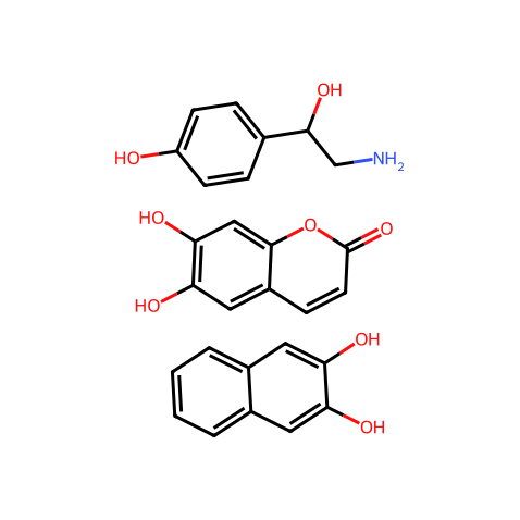 NCC(O)c1ccc(O)cc1.O=c1ccc2cc(O)c(O)cc2o1.Oc1cc2ccccc2cc1O